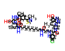 Cc1ncsc1-c1ccc([C@H](C)NC(=O)[C@@H]2C[C@@H](O)CN2C(=O)[C@@H](NC(=O)CCCCCCCCCCNC(=O)CCNC[C@@H](C(=O)N2CCN(c3ncnc4c3[C@H](C)C[C@H]4O)CC2)c2ccc(Cl)cc2)C(C)(C)C)cc1